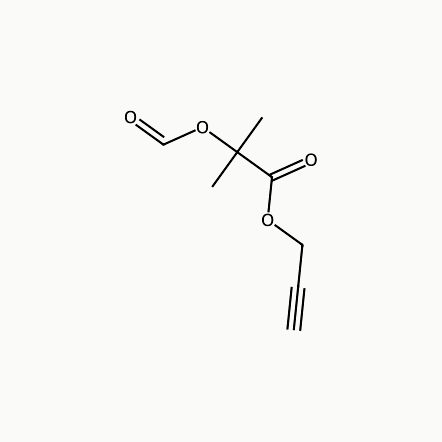 C#CCOC(=O)C(C)(C)OC=O